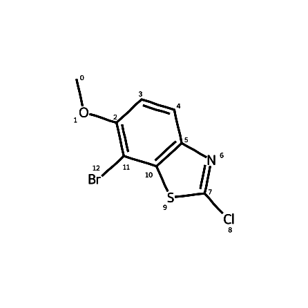 COc1ccc2nc(Cl)sc2c1Br